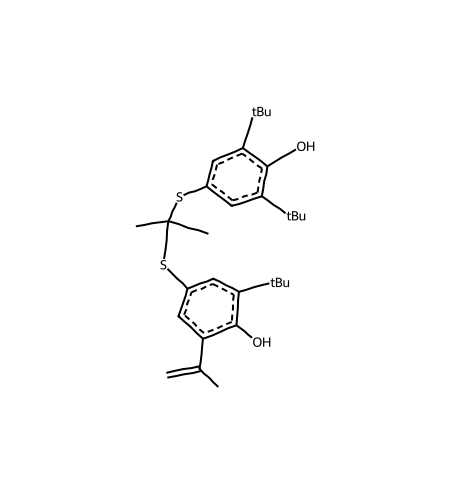 C=C(C)c1cc(SC(C)(C)Sc2cc(C(C)(C)C)c(O)c(C(C)(C)C)c2)cc(C(C)(C)C)c1O